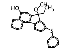 CCC1(OC)c2cc(Sc3ccccc3)ccc2-c2c1cc(O)c1ccccc21